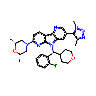 Cc1nnn(C)c1-c1cnc2c3ccc(N4C[C@@H](C)O[C@@H](C)C4)nc3n([C@H](c3ccccc3F)C3CCOCC3)c2c1